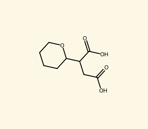 O=C(O)CC(C(=O)O)C1CCCCO1